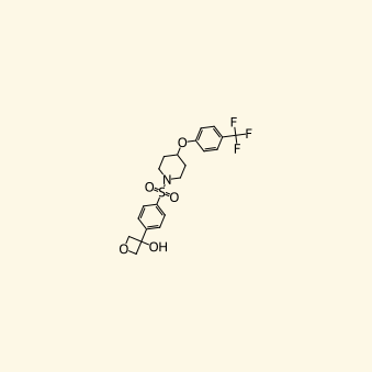 O=S(=O)(c1ccc(C2(O)COC2)cc1)N1CCC(Oc2ccc(C(F)(F)F)cc2)CC1